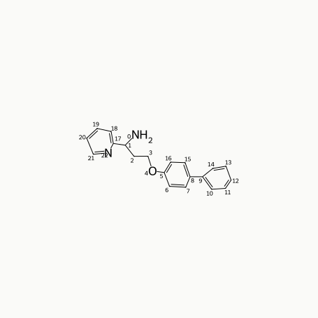 NC(CCOc1ccc(-c2ccccc2)cc1)c1ccccn1